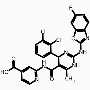 CC1=C(C(=O)Nc2cc(C(=O)O)ccn2)C(c2cccc(Cl)c2Cl)N=C(Nc2nc3ccc(F)cc3o2)N1